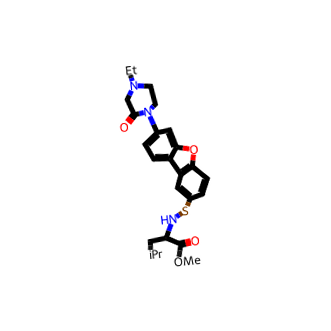 CCN1CCN(c2ccc3c(c2)oc2ccc(SNC(CC(C)C)C(=O)OC)cc23)C(=O)C1